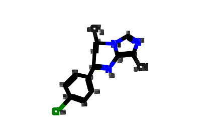 N#Cc1ncn2c(C(F)(F)F)cc(-c3ccc(Cl)cc3)nc12